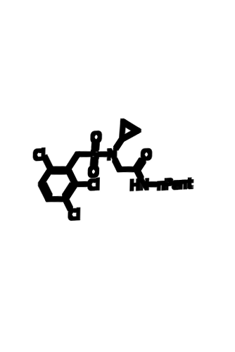 CCCCCNC(=O)CN(C1CC1)S(=O)(=O)Cc1c(Cl)ccc(Cl)c1Cl